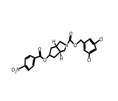 O=C(OC1C[C@@H]2CN(C(=O)OCc3cc(Cl)cc(Cl)c3)C[C@@H]2C1)c1ccc([N+](=O)[O-])cc1